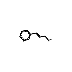 CC(C)CC=Cc1c[c]ccc1